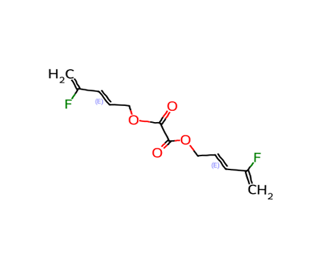 C=C(F)/C=C/COC(=O)C(=O)OC/C=C/C(=C)F